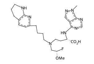 CO[C@@H](F)CN(CCCCc1ccc2c(n1)NCCC2)CC[C@H](Nc1ncnc2c1cnn2C)C(=O)O